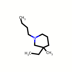 CCCCN1CCCC(C)(CC)C1